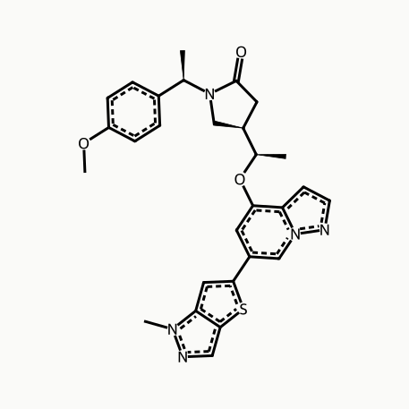 COc1ccc([C@@H](C)N2C[C@H]([C@@H](C)Oc3cc(-c4cc5c(cnn5C)s4)cn4nccc34)CC2=O)cc1